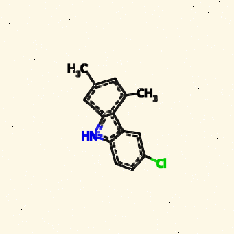 Cc1cc(C)c2c(c1)[nH]c1ccc(Cl)cc12